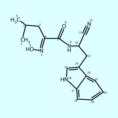 CC(C)CC(=NO)C(=O)NC(C#N)Cc1c[nH]c2ccccc12